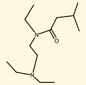 CCN(CC)CCN(CC)C(=O)CC(C)C